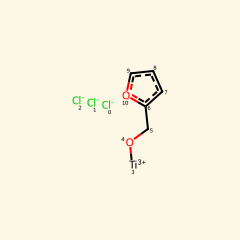 [Cl-].[Cl-].[Cl-].[Ti+3][O]Cc1ccco1